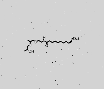 CCCCCCCC/C=C\CCCCCCCC(=O)NCCOCC(C)OCC(C)O